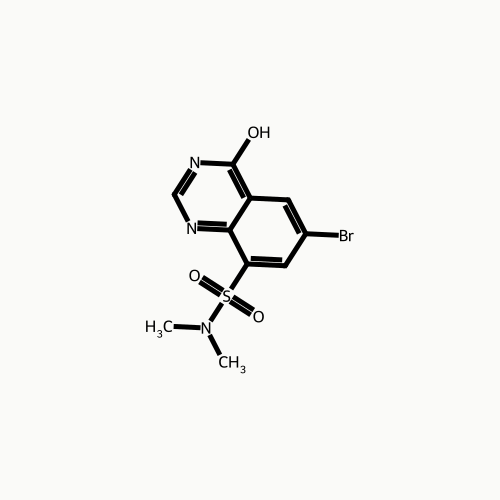 CN(C)S(=O)(=O)c1cc(Br)cc2c(O)ncnc12